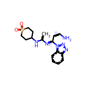 C=C(/N=C(\C=C/N)n1nnc2ccccc21)NC1CCS(=O)(=O)CC1